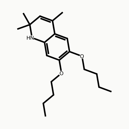 CCCCOc1cc2c(cc1OCCCC)C(C)=CC(C)(C)N2